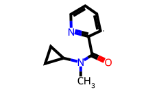 CN(C(=O)c1[c]cccn1)C1CC1